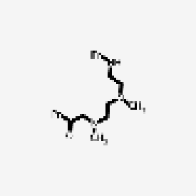 CC(C)NCCN(C)CCN(C)CC(=O)C(C)C